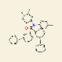 Cc1ccc(N2c3cc(C)c(C)cc3O[Si]2(c2cccc(-c3ccccc3)c2)c2cccc(-c3ccccc3)c2)cc1